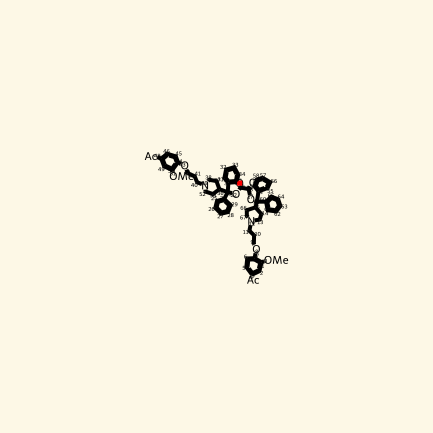 COc1cc(C(C)=O)ccc1OCCCN1CCC(C(OC(=O)C(=O)OC(c2ccccc2)(c2ccccc2)C2CCN(CCCOc3ccc(C(C)=O)cc3OC)CC2)(c2ccccc2)c2ccccc2)CC1